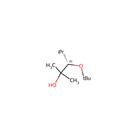 CC(C)[C@H](OC(C)(C)C)C(C)(C)O